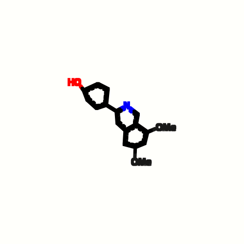 COc1cc(OC)c2cnc(-c3ccc(O)cc3)cc2c1